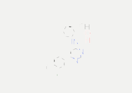 CC(O)(CNc1cc(-c2ccc(C(F)(F)F)c(Cl)c2)ncn1)c1ccccc1